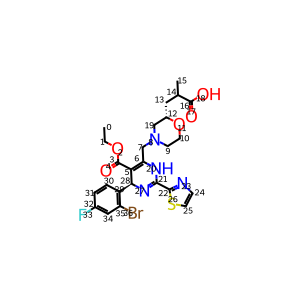 CCOC(=O)C1=C(CN2CCO[C@@H](CC(C)C(=O)O)C2)NC(c2nccs2)=N[C@H]1c1ccc(F)cc1Br